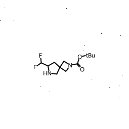 CC(C)(C)OC(=O)N1CC2(CNC(C(F)F)C2)C1